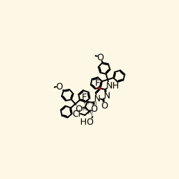 COc1ccc(C(Nc2nc(=O)n([C@@H]3O[C@@](CO)(CCl)[C@@H](OC(c4ccccc4)(c4ccccc4)c4ccc(OC)cc4)[C@@H]3F)cc2F)(c2ccccc2)c2ccccc2)cc1